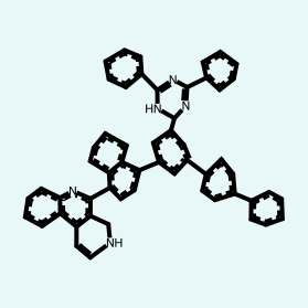 C1=Cc2c(c(-c3ccc(-c4cc(-c5ccc(-c6ccccc6)cc5)cc(C5N=C(c6ccccc6)N=C(c6ccccc6)N5)c4)c4ccccc34)nc3ccccc23)CN1